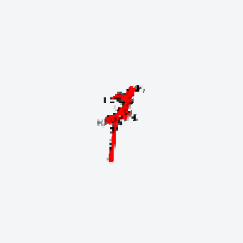 CCCCCCCCCCCCCCCCCC(=O)OCCSP(=O)(O)OC1[C@@H](OC)[C@@H](COP(O)(=S)OC2[C@@H](O)[C@@H](COP(=O)(O)OC3[C@@H](OC)[C@@H](COP(=O)(O)OCCO)O[C@H]3n3cnc4c(N)ncnc43)O[C@H]2n2cnc3c(N)ncnc32)O[C@H]1n1cnc2c(N)ncnc21